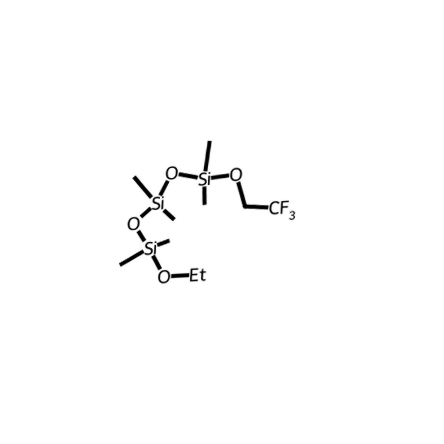 CCO[Si](C)(C)O[Si](C)(C)O[Si](C)(C)OCC(F)(F)F